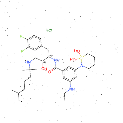 CCNc1cc(C(=O)N[C@@H](Cc2ccc(F)c(F)c2)[C@H](O)CNC(C)(C)CCCC(C)C)cc(N2CCCCS2(O)O)c1.Cl